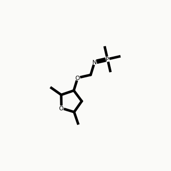 CC1CC(OCN=P(C)(C)C)C(C)O1